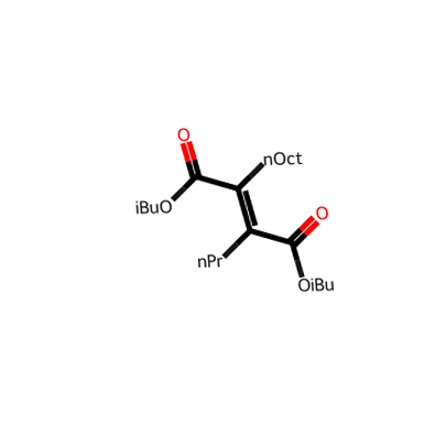 CCCCCCCCC(C(=O)OCC(C)C)=C(CCC)C(=O)OCC(C)C